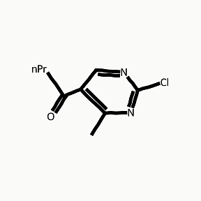 CCCC(=O)c1cnc(Cl)nc1C